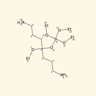 CCOC(CCCN)(CCCN)O[Si](OCC)(OCC)OCC